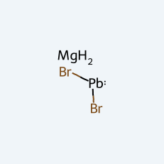 [Br][Pb][Br].[MgH2]